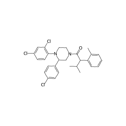 Cc1ccccc1C(C(=O)N1CCN(c2ccc(Cl)cc2Cl)C(c2ccc(Cl)cc2)C1)C(C)C